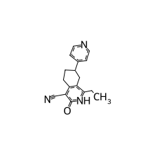 CCc1[nH]c(=O)c(C#N)c2c1CC(c1ccncc1)CC2